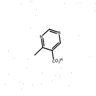 Cc1ncncc1C(=O)O